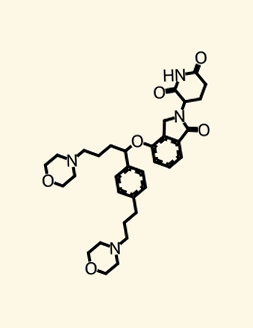 O=C1CCC(N2Cc3c(OC(CCCN4CCOCC4)c4ccc(CCCN5CCOCC5)cc4)cccc3C2=O)C(=O)N1